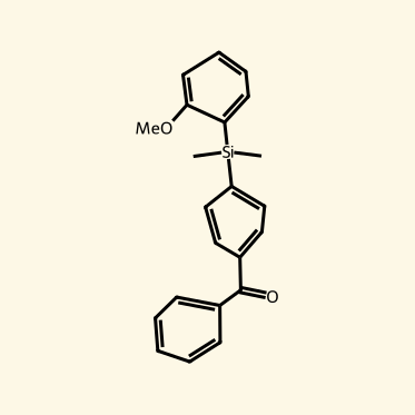 COc1ccccc1[Si](C)(C)c1ccc(C(=O)c2ccccc2)cc1